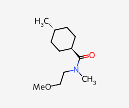 COCCN(C)C(=O)[C@H]1CC[C@H](C)CC1